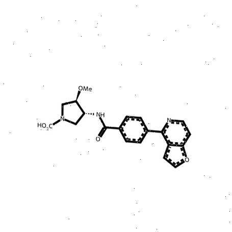 CO[C@@H]1CN(C(=O)O)C[C@H]1NC(=O)c1ccc(-c2nccc3occc23)cc1